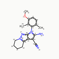 COc1ccc(C)c(-n2c(N)c(C#N)c3c4n(nc32)CCCC4)c1C